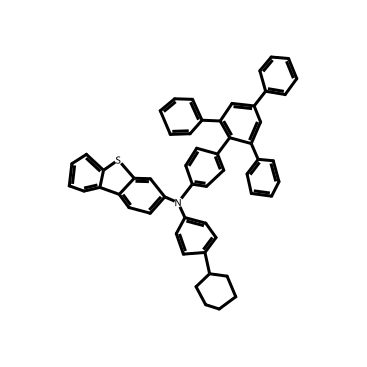 c1ccc(-c2cc(-c3ccccc3)c(-c3ccc(N(c4ccc(C5CCCCC5)cc4)c4ccc5c(c4)sc4ccccc45)cc3)c(-c3ccccc3)c2)cc1